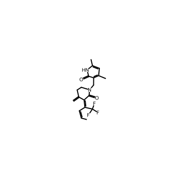 C=C1CCN(Cc2c(C)cc(C)[nH]c2=O)C(=O)/C1=C(/C=C\C)C(F)(F)F